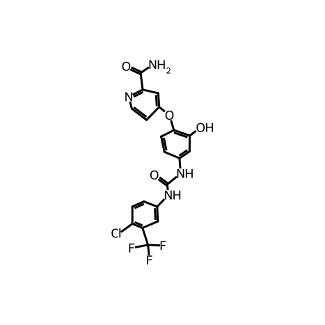 NC(=O)c1cc(Oc2ccc(NC(=O)Nc3ccc(Cl)c(C(F)(F)F)c3)cc2O)ccn1